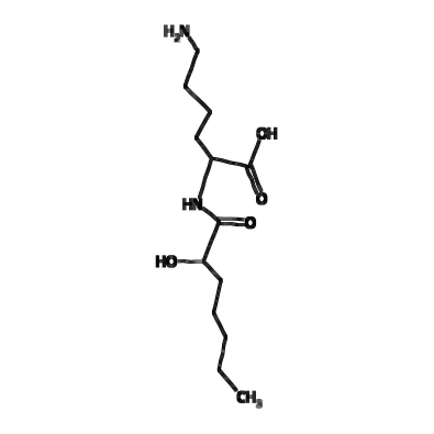 CCCCCC(O)C(=O)NC(CCCCN)C(=O)O